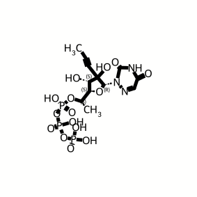 CC#CC1(O)[C@@H](O)[C@@H]([C@H](C)OP(=O)(O)OP(=O)(O)OP(=O)(O)O)O[C@H]1n1ncc(=O)[nH]c1=O